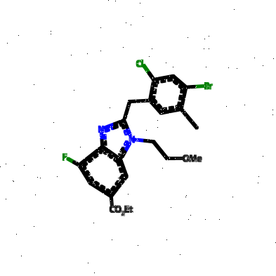 CCOC(=O)c1cc(F)c2nc(Cc3cc(C)c(Br)cc3Cl)n(CCOC)c2c1